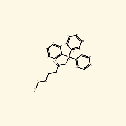 O=C(CCCCCl)O[Si](c1ccccc1)(c1ccccc1)c1ccccc1